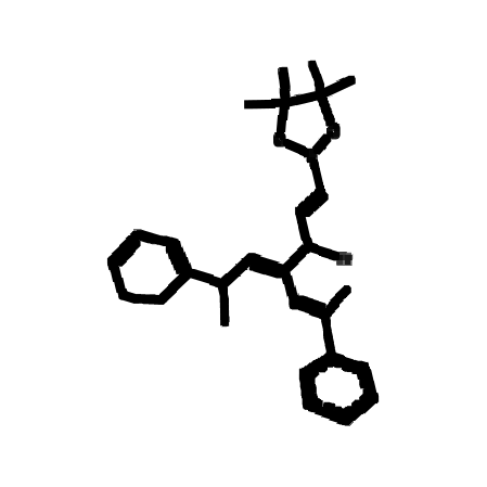 CCC(/C=C/B1OC(C)(C)C(C)(C)O1)C(=C/C(C)C1=CC=CCC1)/C=C(\C)c1ccccc1